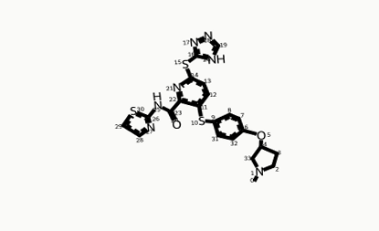 CN1CCC(Oc2ccc(Sc3ccc(Sc4nnc[nH]4)nc3C(=O)Nc3nccs3)cc2)C1